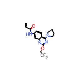 C=CC(=O)Nc1ccc2c(N3CCCC3)nc(OCC(F)(F)F)nc2c1